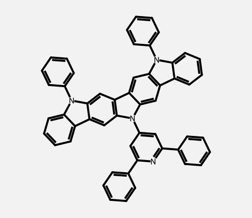 c1ccc(-c2cc(-n3c4cc5c6ccccc6n(-c6ccccc6)c5cc4c4cc5c(cc43)c3ccccc3n5-c3ccccc3)cc(-c3ccccc3)n2)cc1